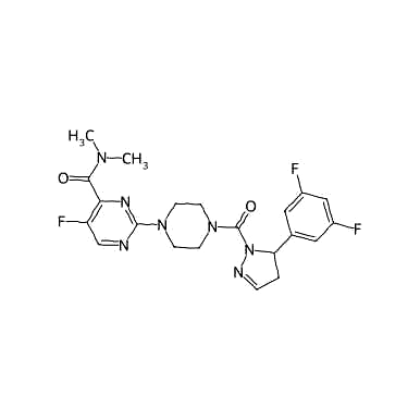 CN(C)C(=O)c1nc(N2CCN(C(=O)N3N=CCC3c3cc(F)cc(F)c3)CC2)ncc1F